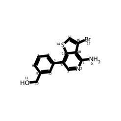 Nc1ncc(-c2cccc(CO)c2)c2scc(Br)c12